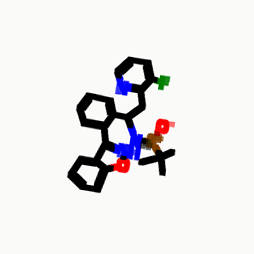 CC(C)(C)[S@+]([O-])NC(Cc1ncccc1F)c1ccccc1-c1noc2ccccc12